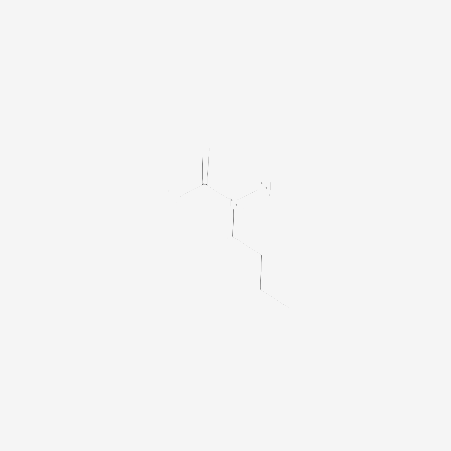 CCCCN(N)C(=O)S